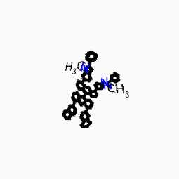 Cn1c(-c2ccccc2)cc2ccc(-c3cccc4c(-c5c6cccc(-c7ccc8ccccc8c7)c6cc6c(-c7ccc8ccccc8c7)cccc56)c5cccc(-c6ccc7nc(-c8ccccc8)n(C)c7c6)c5cc34)cc21